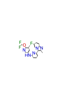 Cc1cc(Nc2cccc(-c3c(C)nc4ccc(F)cn34)n2)cnc1OC(F)F